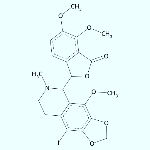 COc1ccc2c(c1OC)C(=O)OC2C1c2c(c(I)c3c(c2OC)OCO3)CCN1C